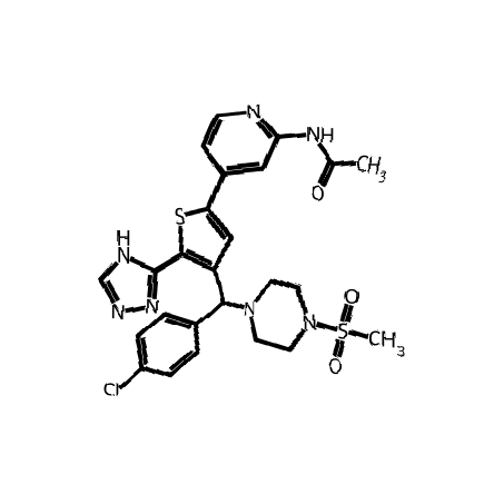 CC(=O)Nc1cc(-c2cc(C(c3ccc(Cl)cc3)N3CCN(S(C)(=O)=O)CC3)c(-c3nnc[nH]3)s2)ccn1